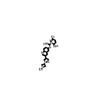 CCc1ccc(=N)n(C(=N)Sc2ccc3ncc(-c4cnn(C5CN(CC)C5)c4)cc3c2)n1